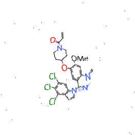 C=CC(=O)N1CCC(Oc2cc(/C(=N\C)n3ccc4c(Cl)c(Cl)c(Cl)cc43)c(N=C)cc2OC)CC1